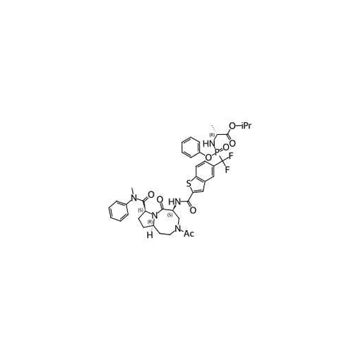 CC(=O)N1CC[C@H]2CC[C@@H](C(=O)N(C)c3ccccc3)N2C(=O)[C@@H](NC(=O)c2cc3cc(C(F)(F)P(=O)(N[C@H](C)C(=O)OC(C)C)Oc4ccccc4)ccc3s2)C1